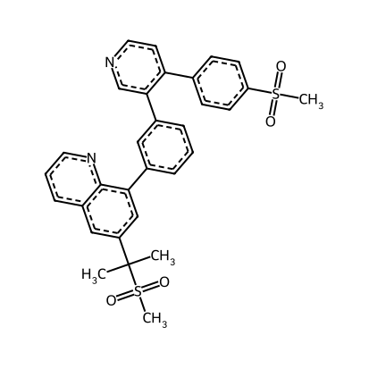 CC(C)(c1cc(-c2cccc(-c3cnccc3-c3ccc(S(C)(=O)=O)cc3)c2)c2ncccc2c1)S(C)(=O)=O